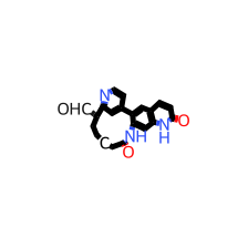 O=CC1CCCCC(=O)Nc2cc3[nH]c(=O)ccc3cc2-c2ccnc1c2